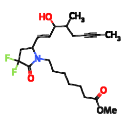 CC#CCC(C)C(O)C=CC1CC(F)(F)C(=O)N1CCCCCCC(=O)OC